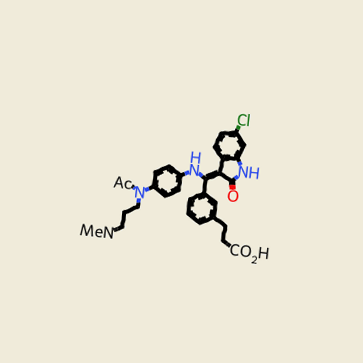 CNCCCN(C(C)=O)c1ccc(NC(=C2C(=O)Nc3cc(Cl)ccc32)c2cccc(CCC(=O)O)c2)cc1